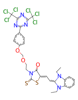 CCN1C(=CC=C2SC(=S)N(CCOCOc3ccc(-c4nc(C(Cl)(Cl)Cl)nc(C(Cl)(Cl)Cl)n4)cc3)C2=O)N(CC)c2ccccc21